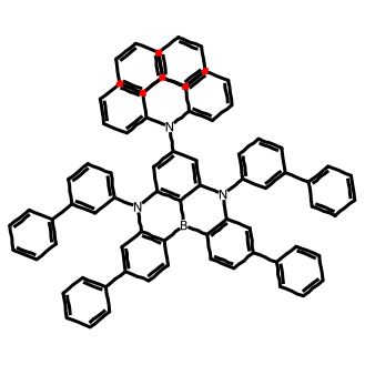 c1ccc(-c2cccc(N3c4cc(-c5ccccc5)ccc4B4c5ccc(-c6ccccc6)cc5N(c5cccc(-c6ccccc6)c5)c5cc(N(c6ccccc6-c6ccccc6)c6ccccc6-c6ccccc6)cc3c54)c2)cc1